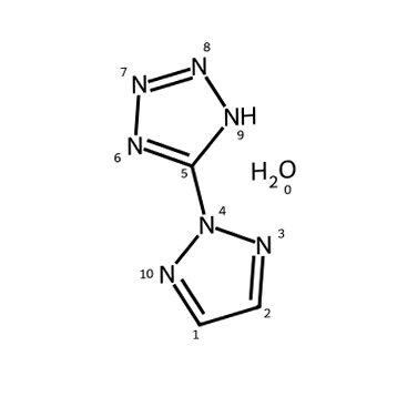 O.c1cnn(-c2nnn[nH]2)n1